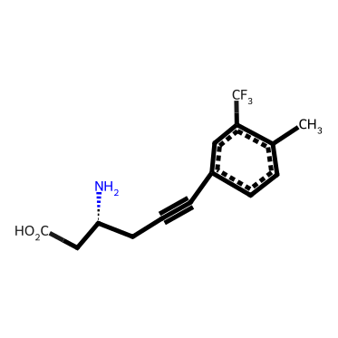 Cc1ccc(C#CC[C@@H](N)CC(=O)O)cc1C(F)(F)F